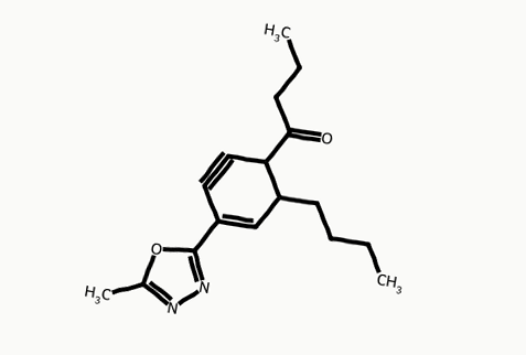 CCCCC1C=C(c2nnc(C)o2)C#CC1C(=O)CCC